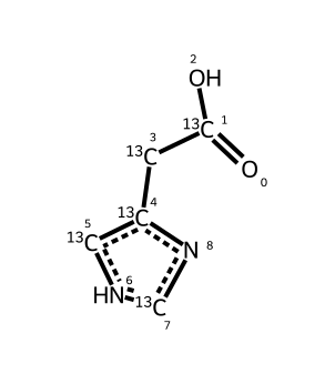 O=[13C](O)[13CH2][13c]1[13cH][nH][13cH]n1